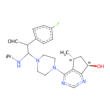 CC(C)NC(C(C=O)c1ccc(F)cc1)N1CCN(c2ncnc3c2[C@H](C)C[C@H]3O)CC1